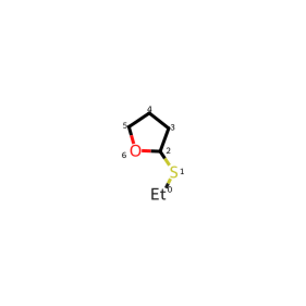 CCSC1CCCO1